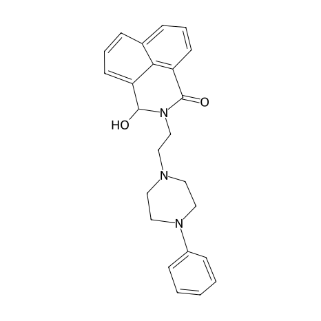 O=C1c2cccc3cccc(c23)C(O)N1CCN1CCN(c2ccccc2)CC1